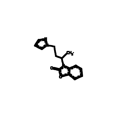 [CH2]C(CCn1cccn1)n1c(=O)oc2ccccc21